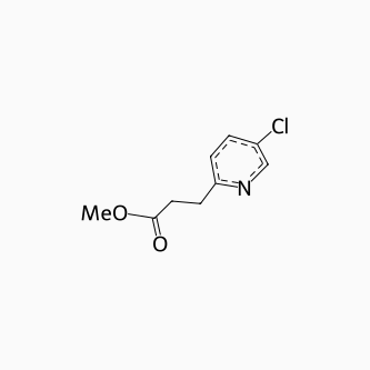 COC(=O)CCc1ccc(Cl)cn1